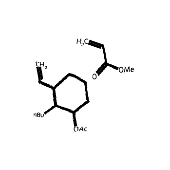 C=CC(=O)OC.C=CC1CCCC(OC(C)=O)C1CCCC